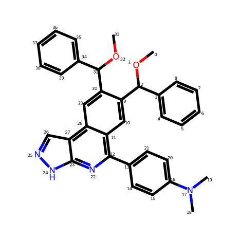 COC(c1ccccc1)c1cc2c(-c3ccc(N(C)C)cc3)nc3[nH]ncc3c2cc1C(OC)c1ccccc1